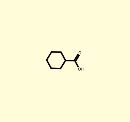 O=C(O)[C]1CCCCC1